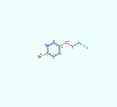 FCCOc1ccc(Br)nc1